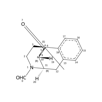 O=CN1CC[C@]23CC(=O)CC[C@H]2[C@H]1Cc1ccccc13